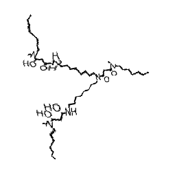 CCCCCCCN(C)C(=O)CC(=O)N(CCCCCCCCNC(O)CC(O)N(C)CCCCCCC)CCCCCCCCNC(O)CC(O)N(C)CCCCCCC